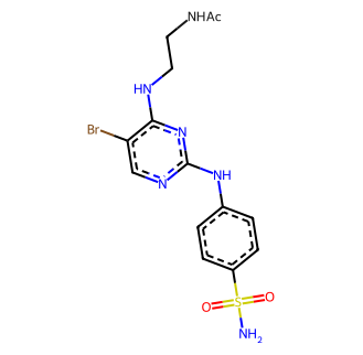 CC(=O)NCCNc1nc(Nc2ccc(S(N)(=O)=O)cc2)ncc1Br